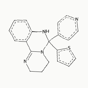 c1csc(C2(c3ccncc3)Nc3ccccc3C3=NCCCN32)c1